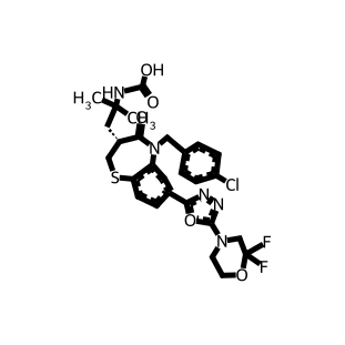 CC(C)(C[C@H]1CSc2ccc(-c3nnc(N4CCOC(F)(F)C4)o3)cc2N(Cc2ccc(Cl)cc2)C1=O)NC(=O)O